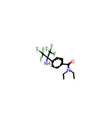 CCN(CC)C(=O)c1ccc(C(N)(C(F)(F)F)C(F)(F)F)cc1